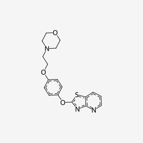 c1cnc2nc(Oc3ccc(OCCN4CCOCC4)cc3)sc2c1